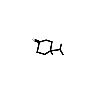 CC(C)C1(F)CCC(=O)CC1